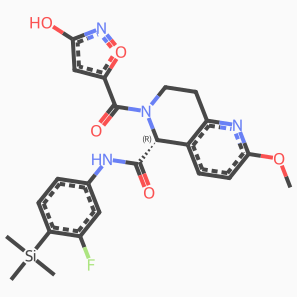 COc1ccc2c(n1)CCN(C(=O)c1cc(O)no1)[C@H]2C(=O)Nc1ccc([Si](C)(C)C)c(F)c1